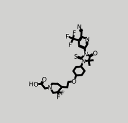 CC1(C)C(=O)N(c2cnc(C#N)c(C(F)(F)F)c2)C(=S)N1C1CCC(OCCC2CCN(CC(=O)O)CC2(F)F)CC1